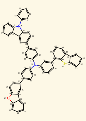 c1ccc(-n2c3ccccc3c3cc(-c4ccc(N(c5ccc(-c6ccc7oc8ccccc8c7c6)cc5)c5cccc(-c6cccc7c6sc6ccccc67)c5)cc4)ccc32)cc1